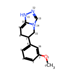 COc1cccc(C2CC=C3NN=CN3C2)c1